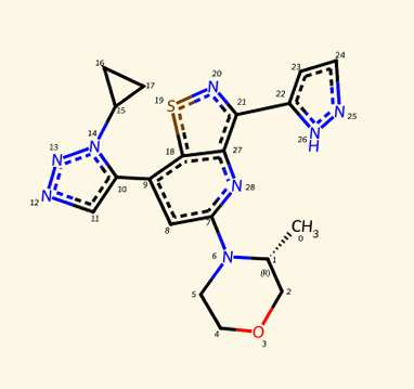 C[C@@H]1COCCN1c1cc(-c2cnnn2C2CC2)c2snc(-c3ccn[nH]3)c2n1